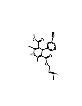 C#Cc1cccc(C2C(C(=O)OC)=C(C)NC(C)=C2C(=O)OCC=C(C)C)c1